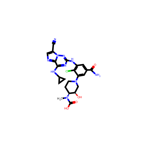 CN(C(=O)O)[C@H]1CCN(c2cc(C(N)=O)cc(Nc3nc(NC4CC4)c4ncc(C#N)n4n3)c2Cl)C[C@H]1O